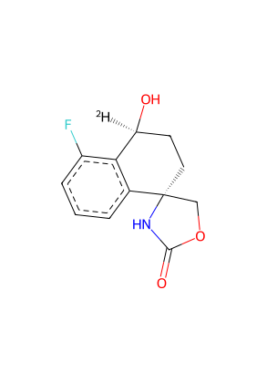 [2H][C@]1(O)CC[C@@]2(COC(=O)N2)c2cccc(F)c21